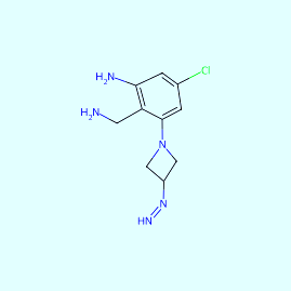 N=NC1CN(c2cc(Cl)cc(N)c2CN)C1